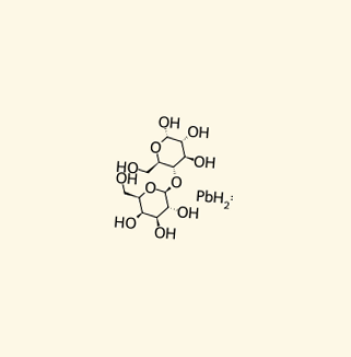 OC[C@H]1O[C@@H](O[C@H]2[C@H](O)[C@@H](O)[C@@H](O)O[C@@H]2CO)[C@H](O)[C@@H](O)[C@H]1O.[PbH2]